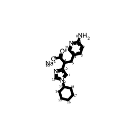 Nc1ccc(CC(C(=O)[O-])c2cn(C3CCCCC3)cn2)cn1.[Na+]